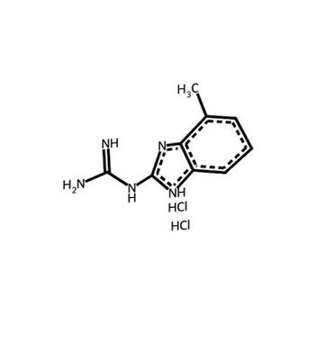 Cc1cccc2[nH]c(NC(=N)N)nc12.Cl.Cl